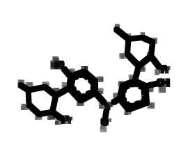 CC1CCC(C(C)C)C(c2cc([S+]([O-])c3ccc(O)c(C4CC(C)CCC4C(C)C)c3)ccc2O)C1